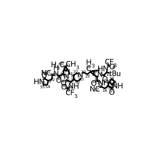 CC(C)(C)C(NC(=O)C(F)(F)F)C(=O)N1CC2C(C1C(=O)NC(C#N)CC1C(=O)NC3CC1C3)C2(C)CCN1CCC(C(NC(=O)C(F)(F)F)C(=O)N2CC3C(C2C(=O)NC(C#N)CC2CCNC2=O)C3(C)C)CC1